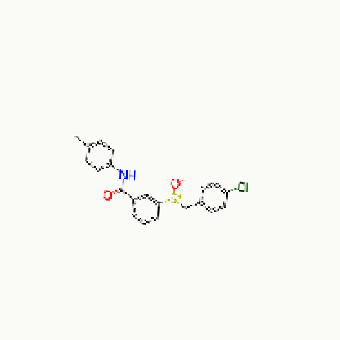 Cc1ccc(NC(=O)c2cccc([S+]([O-])Cc3ccc(Cl)cc3)c2)cc1